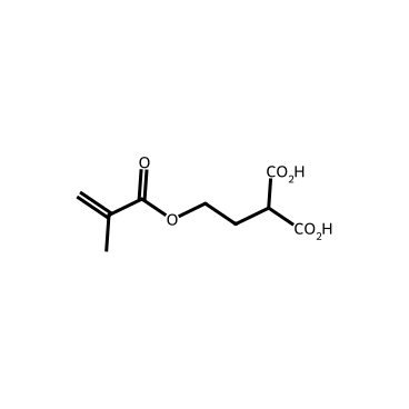 C=C(C)C(=O)OCCC(C(=O)O)C(=O)O